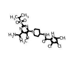 COc1c(C(N)=O)nc(S(=O)(=O)C(C)C)nc1N1CCC(NC(=O)c2[nH]c(C)c(Cl)c2Cl)CC1